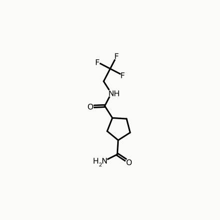 NC(=O)C1CCC(C(=O)NCC(F)(F)F)C1